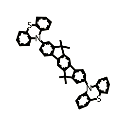 CC1(C)c2cc(N3c4ccccc4Sc4ccccc43)ccc2-c2cc3c(cc21)-c1ccc(N2c4ccccc4Sc4ccccc42)cc1C3(C)C